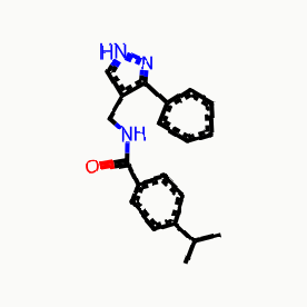 CC(C)c1ccc(C(=O)NCc2c[nH]nc2-c2ccccc2)cc1